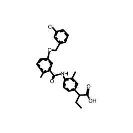 CCC(C(=O)O)c1ccc(NC(=O)c2cc(OCc3cccc(Cl)c3)ccc2C)c(C)c1